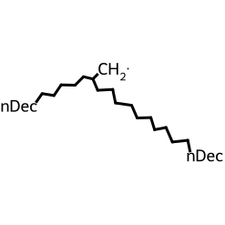 [CH2]C(CCCCCCCCCCCCCCC)CCCCCCCCCCCCCCCCCCCC